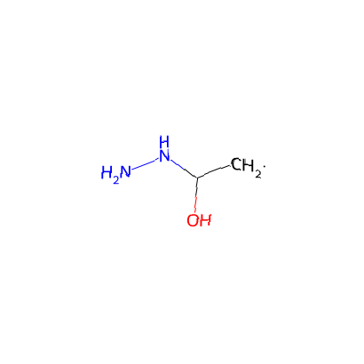 [CH2]C(O)NN